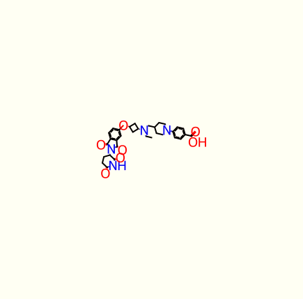 CCN(CC1CCN(c2ccc(C(=O)O)cc2)CC1)[C@H]1C[C@H](Oc2ccc3c(c2)C(=O)N(C2CCC(=O)NC2=O)C3=O)C1